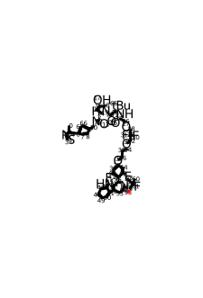 Cc1ncsc1-c1ccc(CNC(=O)[C@@H]2C[C@@H](O)CN2C(=O)C(NC(=O)COCC(F)(F)COCCCOc2cc(F)c([C@@H]3c4[nH]c5ccccc5c4C[C@@H](C)N3CC(C)(C)F)c(F)c2)C(C)(C)C)cc1